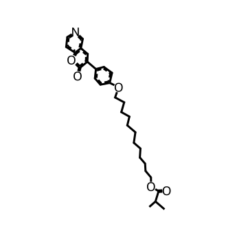 CC(C)C(=O)OCCCCCCCCCCCCOc1ccc(-c2cc3cnccc3oc2=O)cc1